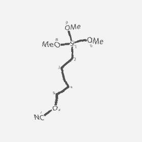 CO[Si](CCCCOC#N)(OC)OC